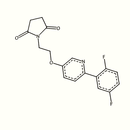 O=C1CCC(=O)N1CCOc1ccc(-c2cc(F)ccc2F)nc1